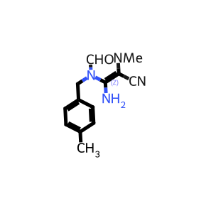 CN/C(C#N)=C(/N)N(C=O)Cc1ccc(C)cc1